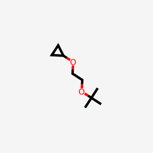 CC(C)(C)OCCOC1CC1